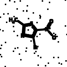 Cc1nc(Br)c([N+](=O)[O-])s1